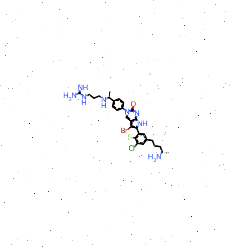 C[C@H](N)CCCc1cc(Cl)c(F)c(-c2[nH]c3nc(=O)n(-c4ccc([C@H](C)NCCCNC(=N)N)cc4)cc3c2Br)c1